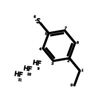 CCc1ccc([S])cc1.F.F.F